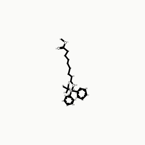 COC(=O)CCCCCCCCO[Si](c1ccccc1)(c1ccccc1)C(C)(C)C